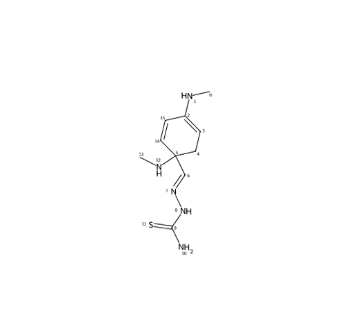 CNC1=CCC(C=NNC(N)=S)(NC)C=C1